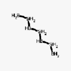 B[SiH2]B[SiH2]B[SiH2]B